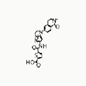 CN1CCc2cc(N3CCn4nc(NC(=O)c5ccc(C(=O)O)s5)cc43)ccc2C1=O